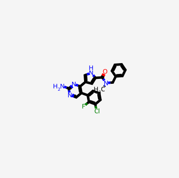 CN(Cc1ccccc1)C(=O)c1cc(-c2nc(N)ncc2-c2cccc(Cl)c2F)c[nH]1